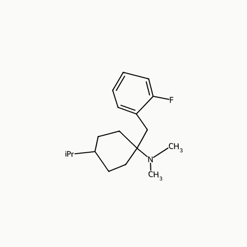 CC(C)C1CCC(Cc2ccccc2F)(N(C)C)CC1